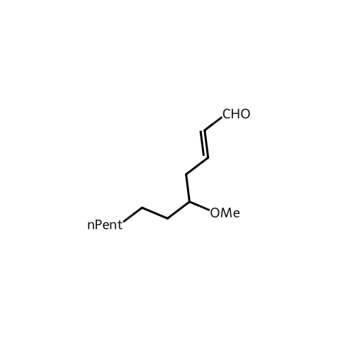 CCCCCCCC(CC=CC=O)OC